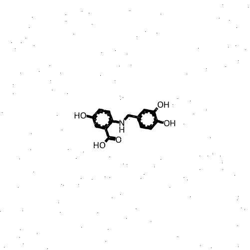 O=C(O)c1cc(O)ccc1NCc1ccc(O)c(O)c1